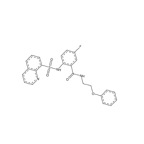 O=C(NCCOc1ccccc1)c1cc(F)ccc1NS(=O)(=O)c1cccc2cccnc12